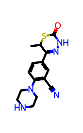 CC1SC(=O)NN=C1c1ccc(N2CCNCC2)c(C#N)c1